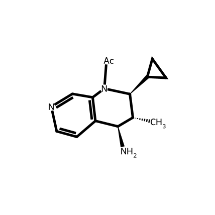 CC(=O)N1c2cnccc2[C@H](N)[C@@H](C)[C@@H]1C1CC1